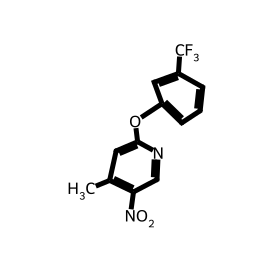 Cc1cc(Oc2cccc(C(F)(F)F)c2)ncc1[N+](=O)[O-]